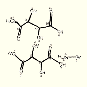 NO.O=C(O)C(O)C(O)C(=O)O.O=C(O)C(O)C(O)C(=O)O